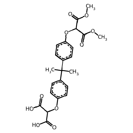 COC(=O)C(Oc1ccc(C(C)(C)c2ccc(OC(C(=O)O)C(=O)O)cc2)cc1)C(=O)OC